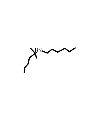 CCCCCCNC(C)(C)CCCC